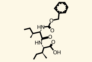 CC[C@H](C)[C@H](NC(=O)[C@@H](NC(=O)OCc1ccccc1)[C@@H](C)CC)C(=O)O